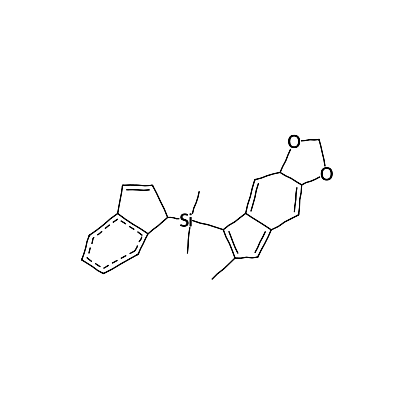 CC1=C([Si](C)(C)C2C=Cc3ccccc32)C2=CC3OCOC3=CC2=C1